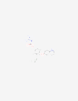 Cc1ccc2cc(Oc3ccc(COC(=O)N=C(N)N)cc3C(F)(F)F)ccc2n1.Cl.Cl